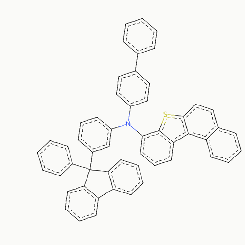 c1ccc(-c2ccc(N(c3cccc(C4(c5ccccc5)c5ccccc5-c5ccccc54)c3)c3cccc4c3sc3ccc5ccccc5c34)cc2)cc1